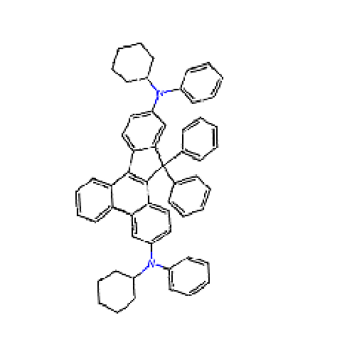 c1ccc(N(c2ccc3c(c2)C(c2ccccc2)(c2ccccc2)c2c-3c3ccccc3c3cc(N(c4ccccc4)C4CCCCC4)ccc23)C2CCCCC2)cc1